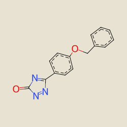 O=C1N=NC(c2ccc(OCc3ccccc3)cc2)=N1